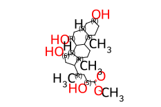 COC(=O)[C@@H](O)C[C@@H](C)C1C[C@H](O)[C@H]2C3C(CC[C@]12C)[C@@]1(C)CC[C@@H](O)C[C@H]1C[C@H]3O